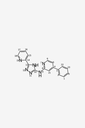 c1ccc(-c2ccnc(Nc3nnc(-c4ccccn4)[nH]3)c2)cc1